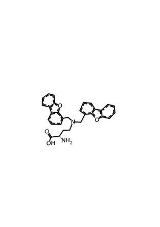 N[C@@H](CCN(Cc1cccc2c1oc1ccccc12)Cc1cccc2c1oc1ccccc12)C(=O)O